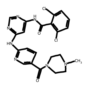 CN1CCN(C(=O)c2ccc(Nc3cc(NC(=O)c4c(Cl)cccc4Cl)ncn3)nc2)CC1